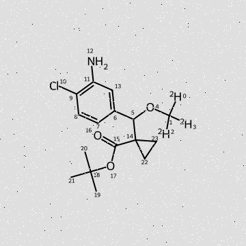 [2H]C([2H])([2H])OC(c1ccc(Cl)c(N)c1)C1(C(=O)OC(C)(C)C)CC1